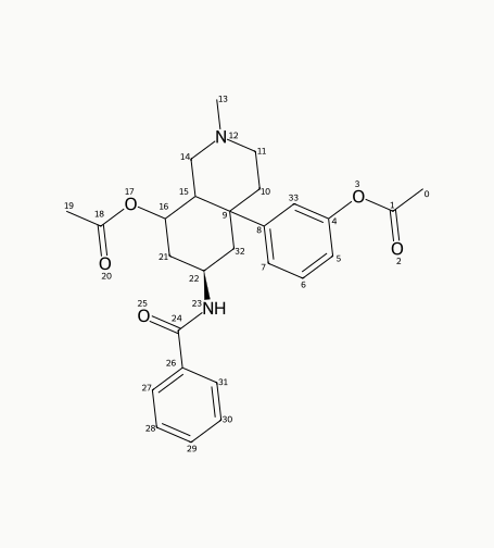 CC(=O)Oc1cccc(C23CCN(C)CC2C(OC(C)=O)C[C@H](NC(=O)c2ccccc2)C3)c1